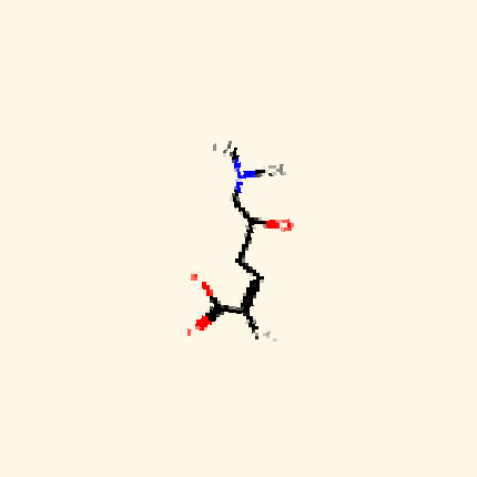 CC(=CCC(O)CN(C)C)C(=O)O